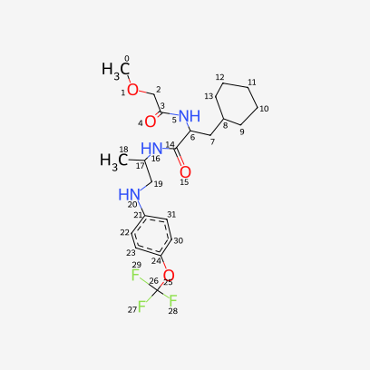 COCC(=O)NC(CC1CCCCC1)C(=O)NC(C)CNc1ccc(OC(F)(F)F)cc1